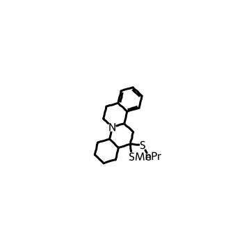 CCCSC1(SC)CC2c3ccccc3CCN2C2CCCCC21